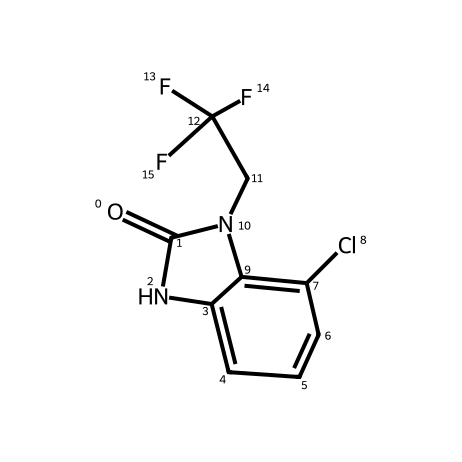 O=c1[nH]c2cccc(Cl)c2n1CC(F)(F)F